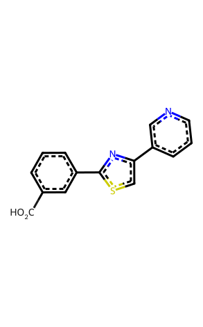 O=C(O)c1cccc(-c2nc(-c3cccnc3)cs2)c1